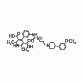 COc1cccc(C2CCN(CCCNC(=O)Nc3cccc(C4=C(C(=O)O)C(C)NC(C)=C4C(=O)O)c3)CC2)c1